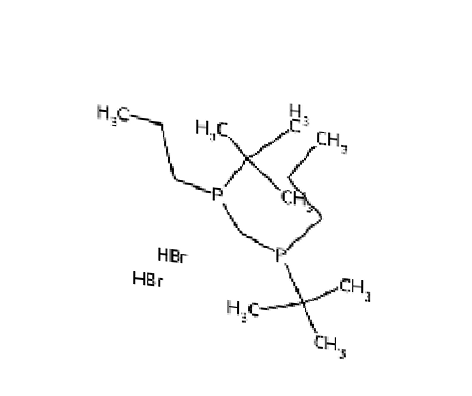 Br.Br.CCCP(CP(CCC)C(C)(C)C)C(C)(C)C